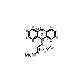 CNCCCC12CCC(c3ccccc31)c1ccccc12.CS(=O)(=O)O